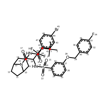 CC(C)(C)OC(=O)NC1CC2CCC(C1)N2C(=O)C(NS(=O)(=O)c1cccc(OCc2ccc(F)cc2)c1)C(F)(F)c1ccc(Br)cc1